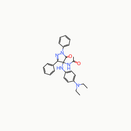 CCN(CC)c1ccc(NC2(NC(C)=O)C(=O)N(c3ccccc3)N=C2c2ccccc2)cc1